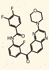 O=C(Nc1cccc(C(=O)c2ccc3ncc(N4CCOCC4)nc3c2)c1F)c1ccc(F)c(F)c1